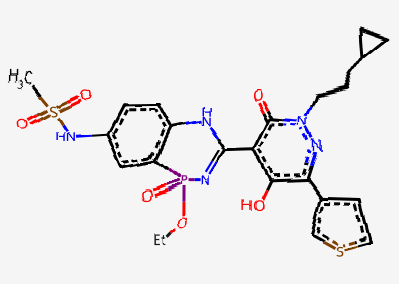 CCOP1(=O)N=C(c2c(O)c(-c3ccsc3)nn(CCC3CC3)c2=O)Nc2ccc(NS(C)(=O)=O)cc21